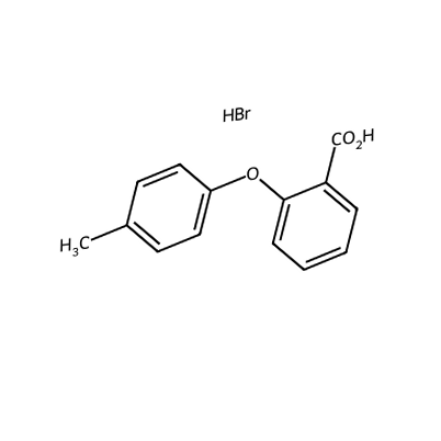 Br.Cc1ccc(Oc2ccccc2C(=O)O)cc1